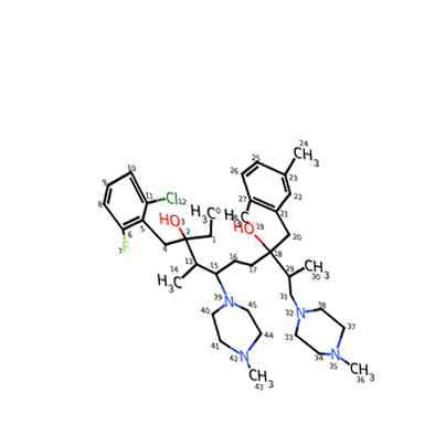 CCC(O)(Cc1c(F)cccc1Cl)C(C)C(CCC(O)(Cc1cc(C)ccc1C)C(C)CN1CCN(C)CC1)N1CCN(C)CC1